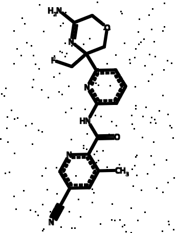 Cc1cc(C#N)cnc1C(=O)Nc1cccc(C2(CF)COCC(N)=N2)n1